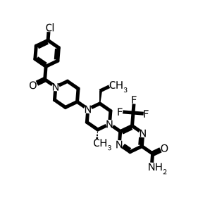 CC[C@H]1CN(c2ncc(C(N)=O)nc2C(F)(F)F)[C@H](C)CN1C1CCN(C(=O)c2ccc(Cl)cc2)CC1